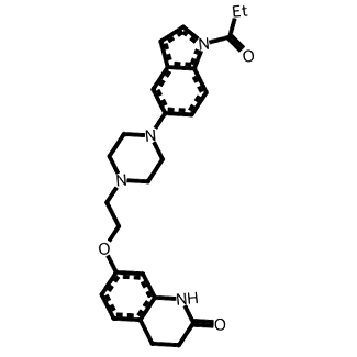 CCC(=O)n1ccc2cc(N3CCN(CCOc4ccc5c(c4)NC(=O)CC5)CC3)ccc21